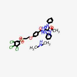 CC(=O)NC1(Nc2ccccc2)C(=O)N(c2ccccc2)N=C1NC(=O)c1ccc(OCCCS(=O)(=O)c2cc(Cl)c(Cl)c(Cl)c2)cc1.CCNCC